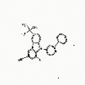 CC(C)(C)c1ccc2c(c1)c1cc(C#N)cc(Br)c1n2-c1cccc(-c2ccccc2)c1